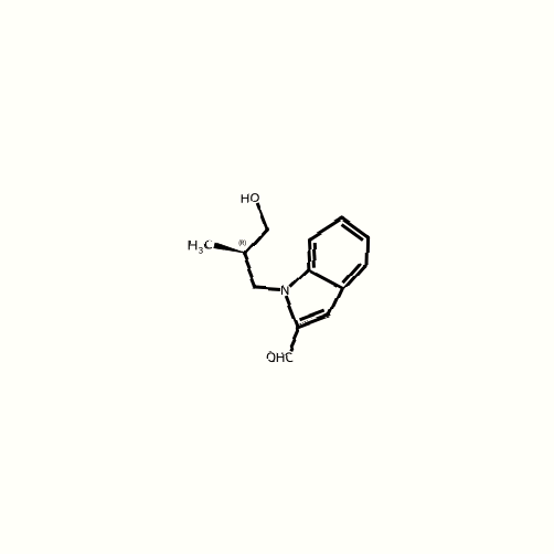 C[C@@H](CO)Cn1c(C=O)cc2ccccc21